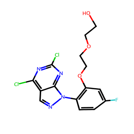 OCCOCCOc1cc(F)ccc1-n1ncc2c(Cl)nc(Cl)nc21